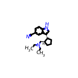 CCN(CC)C[C@@H]1CCC[C@H]1c1c[nH]c2ccc(C#N)cc12